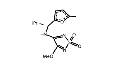 COC1=NS(=O)(=O)N=C1N[C@@H](c1ccc(C)o1)C(C)C